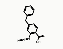 [N-]=[N+]=Nc1cc(Cc2ccccc2)ccc1C(=O)O